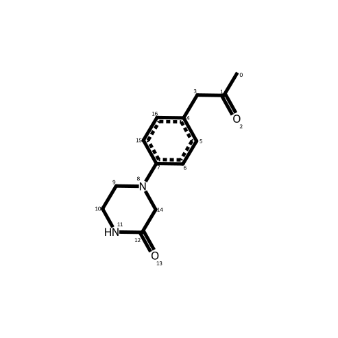 CC(=O)Cc1ccc(N2CCNC(=O)C2)cc1